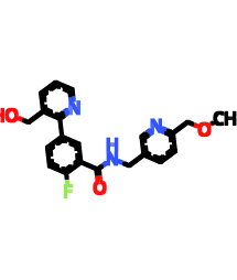 COCc1ccc(CNC(=O)c2cc(-c3ncccc3CO)ccc2F)cn1